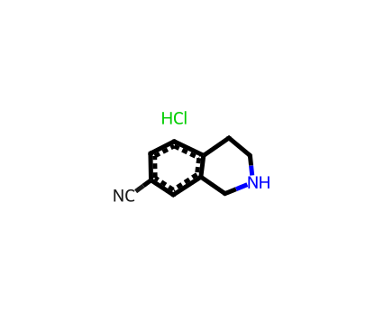 Cl.N#Cc1ccc2c(c1)CNCC2